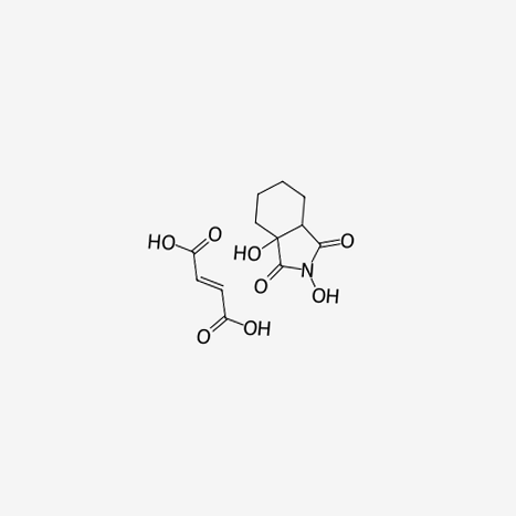 O=C(O)C=CC(=O)O.O=C1C2CCCCC2(O)C(=O)N1O